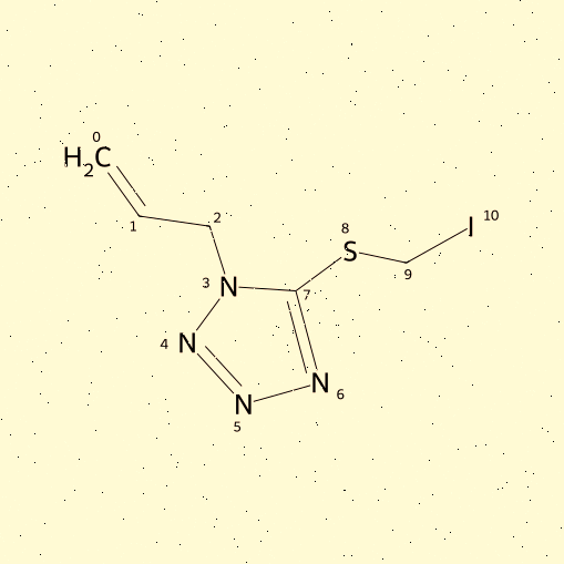 C=CCn1nnnc1SCI